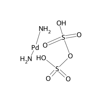 O=S(=O)(O)OS(=O)(=O)O.[NH2][Pd][NH2]